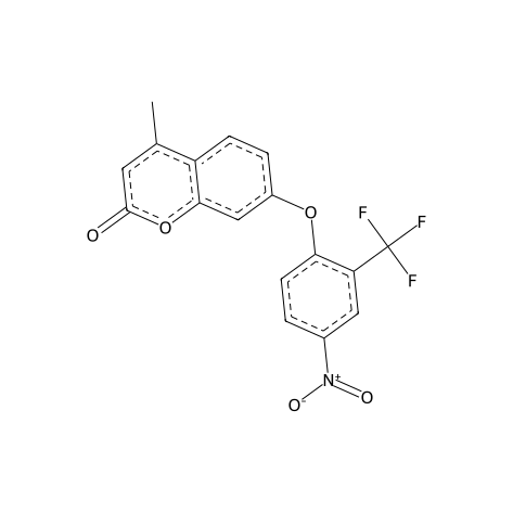 Cc1cc(=O)oc2cc(Oc3ccc([N+](=O)[O-])cc3C(F)(F)F)ccc12